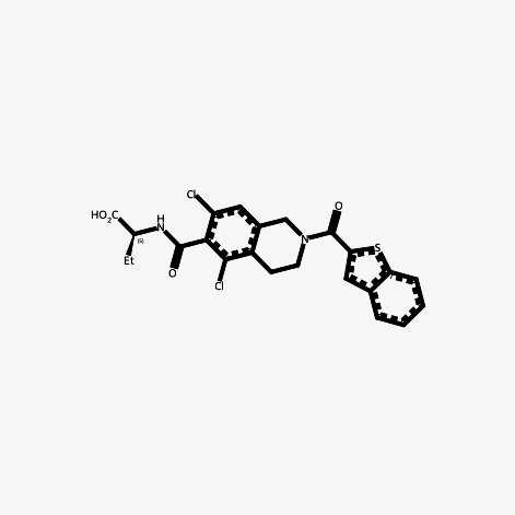 CC[C@H](NC(=O)c1c(Cl)cc2c(c1Cl)CCN(C(=O)c1cc3ccccc3s1)C2)C(=O)O